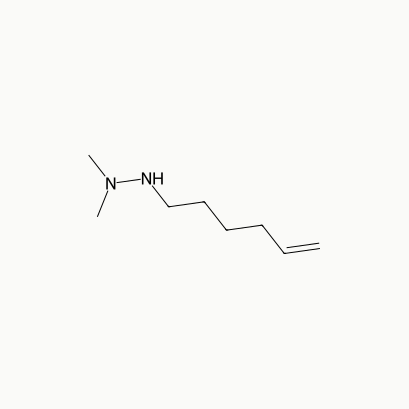 C=CCCCCNN(C)C